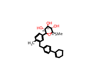 CS[C@H]1OC(c2ccc(C)c(Cc3ccc(C4=CCCCC4)cc3)c2)[C@H](O)[C@@H](O)[C@@H]1O